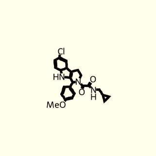 COc1ccc(C2C3=C(CCN2C(=O)C(=O)NCC2CC2)C2C=C(Cl)C=CC2N3)cc1